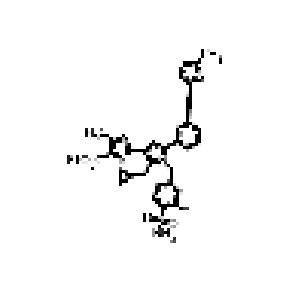 CCOC(=O)c1nc(-c2cc(-c3cccc(C#Cc4ccc(C)s4)c3)n(Cc3ccc(S(N)(=O)=O)c(F)c3)c2CC2CC2)sc1C